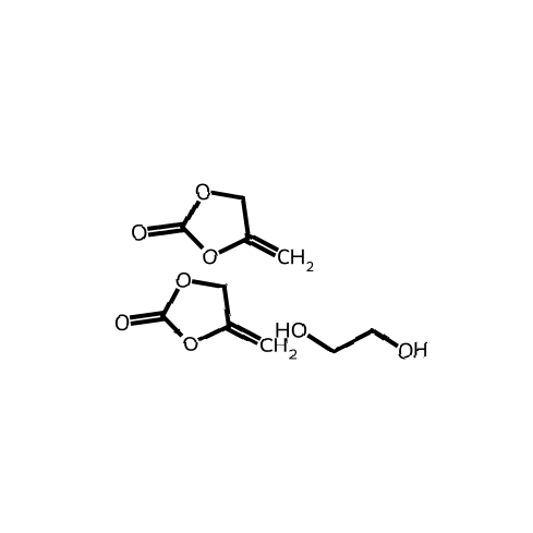 C=C1COC(=O)O1.C=C1COC(=O)O1.OCCO